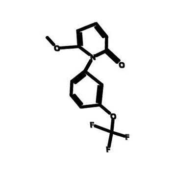 COc1cccc(=O)n1-c1cccc(OC(F)(F)F)c1